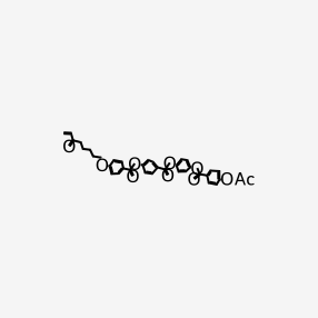 C=CC(=O)CCCCCOc1ccc(C(=O)Oc2ccc(C(=O)Oc3ccc(OC(=O)c4ccc(OC(C)=O)cc4)cc3)cc2)cc1